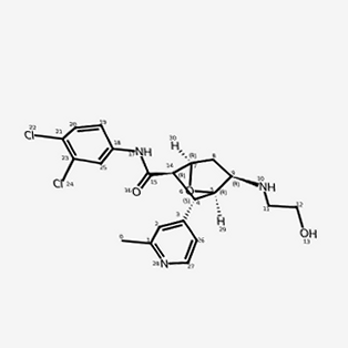 Cc1cc([C@H]2[C@H]3O[C@H](C[C@H]3NCCO)[C@@H]2C(=O)Nc2ccc(Cl)c(Cl)c2)ccn1